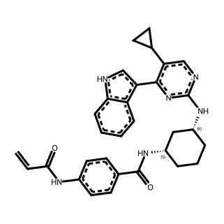 C=CC(=O)Nc1ccc(C(=O)N[C@H]2CCC[C@@H](Nc3ncc(C4CC4)c(-c4c[nH]c5ccccc45)n3)C2)cc1